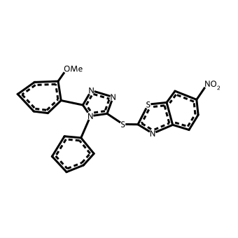 COc1ccccc1-c1nnc(Sc2nc3ccc([N+](=O)[O-])cc3s2)n1-c1ccccc1